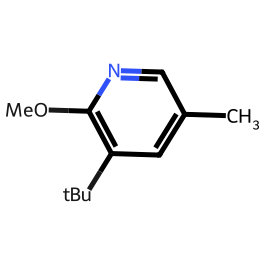 COc1ncc(C)cc1C(C)(C)C